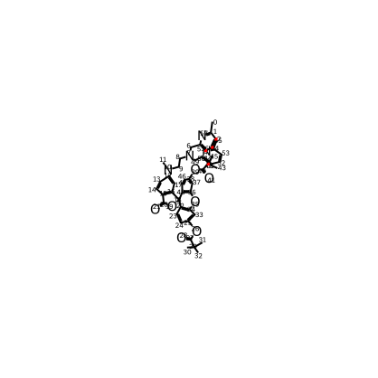 Cc1cccc(CN(CCN(C)c2ccc3c(c2)C2(OC3=O)c3ccc(OC(=O)C(C)(C)C)cc3Oc3cc(OC(=O)C(C)(C)C)ccc32)Cc2cccc(C)n2)n1